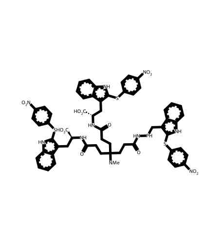 CNC(CCC(=O)NPCc1c(Sc2ccc([N+](=O)[O-])cc2)[nH]c2ccccc12)(CCC(=O)N[C@@H](Cc1c(Sc2ccc([N+](=O)[O-])cc2)[nH]c2ccccc12)C(=O)O)CCC(=O)N[C@@H](Cc1c(Sc2ccc([N+](=O)[O-])cc2)[nH]c2ccccc12)C(=O)O